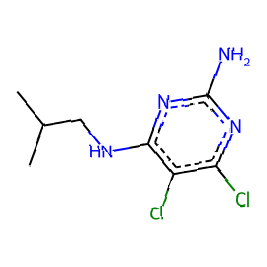 CC(C)CNc1nc(N)nc(Cl)c1Cl